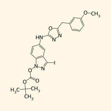 COc1cccc(Cc2nnc(Nc3ccc4c(c3)c(I)nn4OC(=O)OC(C)(C)C)o2)c1